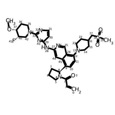 C=CC(=O)N1CCC[C@H]1c1ccc(N2CCC(CS(C)(=O)=O)CC2)c2cnc(Nc3ccnc(N4CC[C@@H](OC)[C@@H](F)C4)n3)cc12